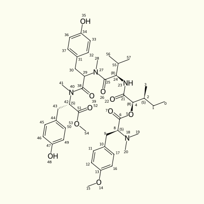 CC[C@H](C)[C@@H](OC(=O)[C@H](Cc1ccc(OC)cc1)N(C)C)C(=O)N[C@@H](C(=O)N(C)C(Cc1ccc(O)cc1)C(=O)N(C)[C@@H](Cc1ccc(O)cc1)C(=O)OC)C(C)C